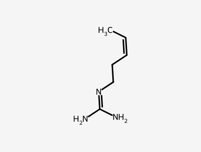 C/C=C\CCN=C(N)N